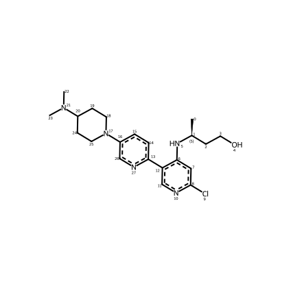 C[C@@H](CCO)Nc1cc(Cl)ncc1-c1ccc(N2CCC(N(C)C)CC2)cn1